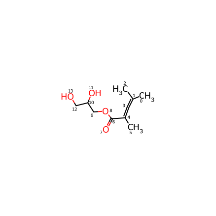 CC(C)=C=C(C)C(=O)OCC(O)CO